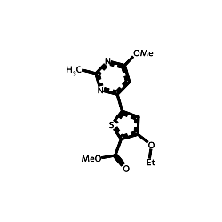 CCOc1cc(-c2cc(OC)nc(C)n2)sc1C(=O)OC